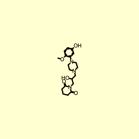 COc1ccc(O)cc1N1CCN(CC(O)CN2C(=O)CCCC2=O)CC1